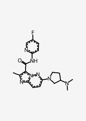 Cc1nc2ccc(N3CCC(N(C)C)C3)nn2c1C(=O)Nc1ccc(F)cn1